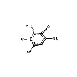 Bc1cc(Br)c(C)n(C)c1=O